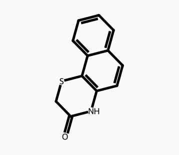 O=C1CSc2c(ccc3ccccc23)N1